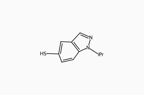 CC(C)n1ncc2cc(S)ccc21